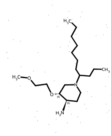 CCCCCCCC(CCC)N1CC[C@@H](N)[C@H](OCCOC)C1